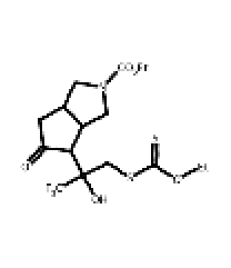 CCOC(=O)N1CC2CC(=O)C(C(O)(CSC(=S)OCC)C(F)(F)F)C2C1